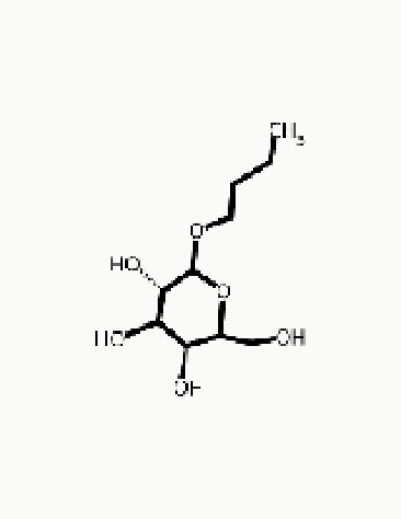 CCCCOC1OC(CO)[C@@H](O)C(O)[C@@H]1O